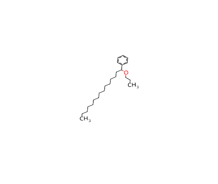 CCCCCCCCCCCCCCC(OCCC)c1ccccc1